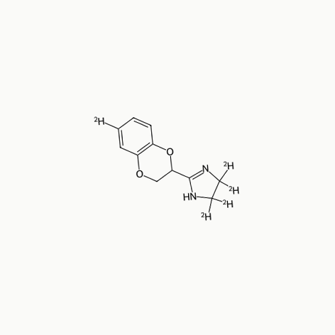 [2H]c1ccc2c(c1)OCC(C1=NC([2H])([2H])C([2H])([2H])N1)O2